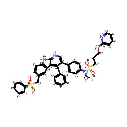 CN(c1ccc(-c2cnc3[nH]c4ccc(CS(=O)(=O)c5ccccc5)cc4c3c2-c2ccccc2)cc1)S(=O)(=O)CCCOc1ccccn1